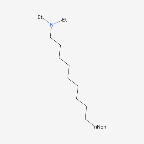 CCCCCCCCCCCCCCCCCCN(CC)CC